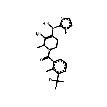 Cc1c(C(=O)N2CCC(N(N)c3ncc[nH]3)=C(N)C2C)cccc1C(F)(F)F